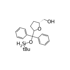 CC(C)(C)[SiH2]OC(c1ccccc1)(c1ccccc1)C1CC[C@H](CO)O1